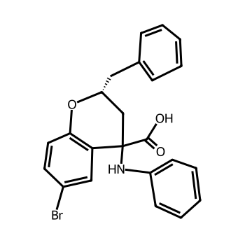 O=C(O)C1(Nc2ccccc2)C[C@@H](Cc2ccccc2)Oc2ccc(Br)cc21